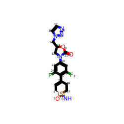 N=[S@]1(=O)CC=C(c2c(F)cc(N3CC(Cn4ccnn4)OC3=O)cc2F)CC1